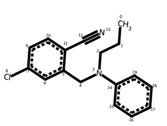 CCCN(Cc1cc(Cl)ccc1C#N)c1ccccc1